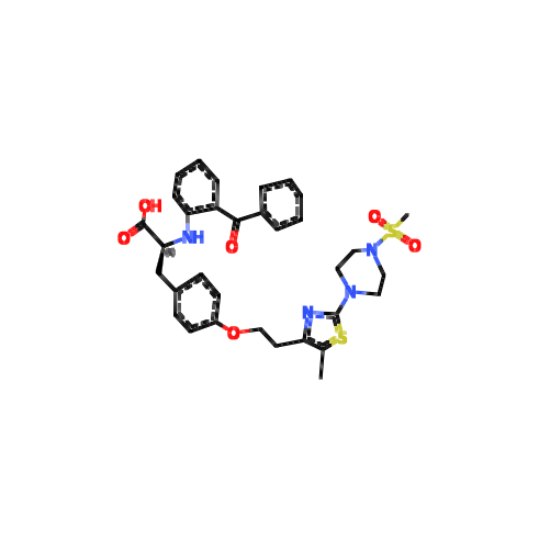 Cc1sc(N2CCN(S(C)(=O)=O)CC2)nc1CCOc1ccc(C[C@H](Nc2ccccc2C(=O)c2ccccc2)C(=O)O)cc1